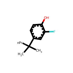 CCCC(C)(C)c1ccc(O)c(F)c1